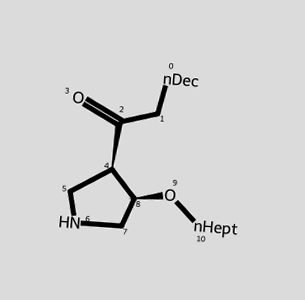 CCCCCCCCCCCC(=O)[C@@H]1CNC[C@@H]1OCCCCCCC